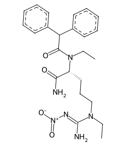 CCN(CCC[C@H](C(N)=O)N(CC)C(=O)C(c1ccccc1)c1ccccc1)C(N)=N[N+](=O)[O-]